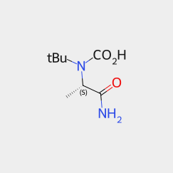 C[C@@H](C(N)=O)N(C(=O)O)C(C)(C)C